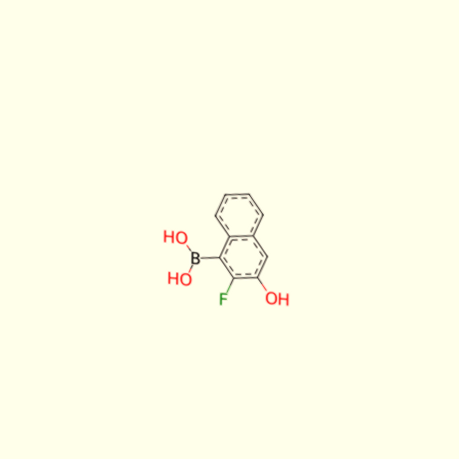 OB(O)c1c(F)c(O)cc2ccccc12